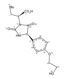 CC(C)(C)C[C@@H](C(=O)O)N1C(=O)N[C@H](c2ccc(OCCO)cc2)C1=O